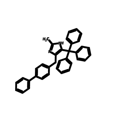 Cc1nc(Cc2ccc(-c3ccccc3)cc2)c(C(c2ccccc2)(c2ccccc2)c2ccccc2)[nH]1